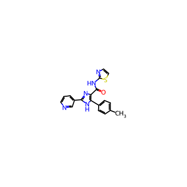 Cc1ccc(-c2[nH]c(-c3cccnc3)nc2C(=O)Nc2nccs2)cc1